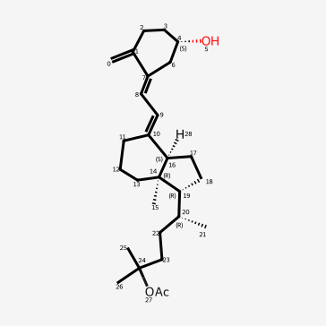 C=C1CC[C@H](O)CC1=CC=C1CCC[C@@]2(C)[C@@H]1CC[C@@H]2[C@H](C)CCC(C)(C)OC(C)=O